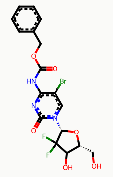 O=C(Nc1nc(=O)n([C@@H]2O[C@H](CO)C(O)C2(F)F)cc1Br)OCc1ccccc1